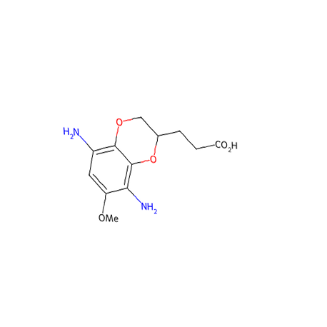 COc1cc(N)c2c(c1N)OC(CCC(=O)O)CO2